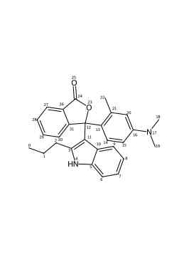 CCCc1[nH]c2ccccc2c1C1(c2ccc(N(C)C)cc2C)OC(=O)c2ccccc21